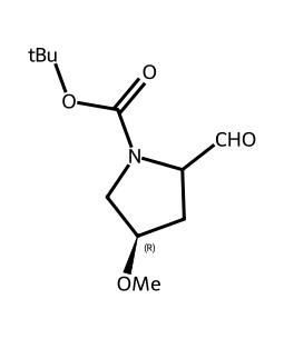 CO[C@@H]1CC(C=O)N(C(=O)OC(C)(C)C)C1